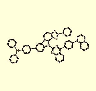 c1ccc(-c2nc3ccc4c5cc(-c6ccc(N(c7ccccc7)c7ccccc7)cc6)ccc5n(-c5nc(-c6ccc(-c7cccc8ccccc78)cc6)c6ccccc6n5)c4c3s2)cc1